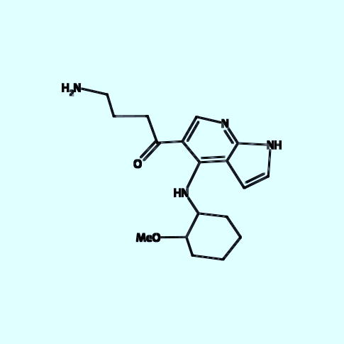 COC1CCCCC1Nc1c(C(=O)CCCN)cnc2[nH]ccc12